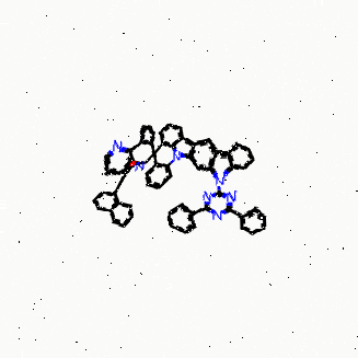 c1ccc(-c2nc(-c3ccccc3)nc(-n3c4ccccc4c4cc5c6cccc7c6n(c5cc43)-c3ccccc3C73c4ccccc4-c4nccc5c(-c6cccc7ccccc67)cnc3c45)n2)cc1